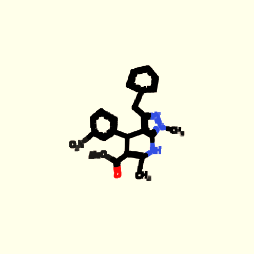 COC(=O)C1=C(C)Nc2c(c(Cc3ccccc3)nn2C)C1c1cccc([N+](=O)[O-])c1